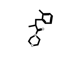 Cc1ccccc1CC(C)C(=O)N1CCOCC1